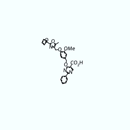 COc1cc(COc2nc(-c3ccccc3)ncc2C(=O)O)ccc1OCc1nc(-c2ccco2)oc1C